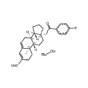 CC(C)(C)O.C[C@]12CCC(C=O)=CC1=CC[C@H]1[C@@H]3CCC[C@@]3(CC(=O)c3ccc(F)cc3)CC[C@@H]12